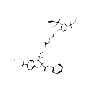 CCC(C)(C)c1ccc(OCCCC(=O)NCC(C)(C)C(=O)C(Cl)(Oc2ccc(C(=O)O)cc2)C(=O)Nc2ccccc2)c(C(C)(C)CC)c1